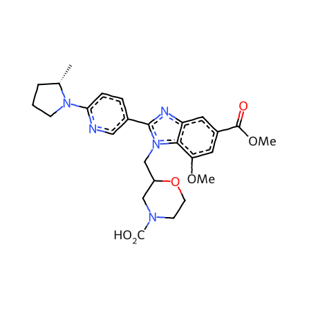 COC(=O)c1cc(OC)c2c(c1)nc(-c1ccc(N3CCC[C@@H]3C)nc1)n2CC1CN(C(=O)O)CCO1